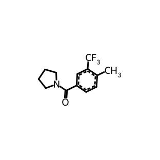 Cc1ccc(C(=O)N2CCCC2)cc1C(F)(F)F